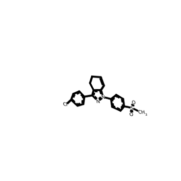 CS(=O)(=O)c1ccc(-n2nc(-c3ccc(Cl)cc3)c3c2C=CCC3)cc1